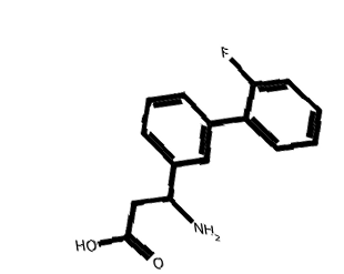 NC(CC(=O)O)c1cccc(-c2ccccc2F)c1